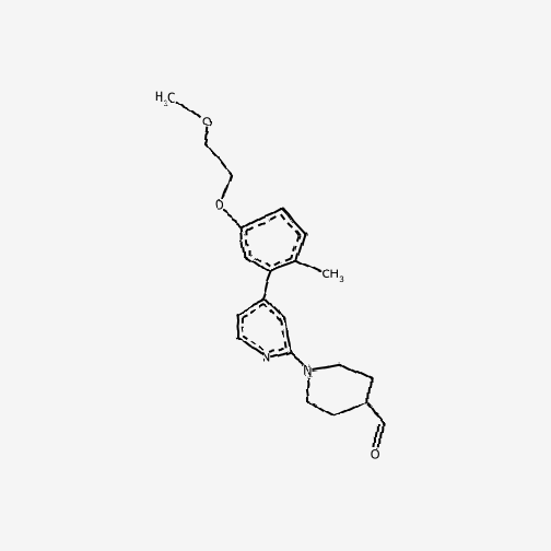 COCCOc1ccc(C)c(-c2ccnc(N3CCC(C=O)CC3)c2)c1